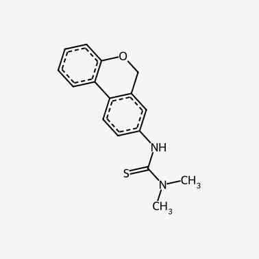 CN(C)C(=S)Nc1ccc2c(c1)COc1ccccc1-2